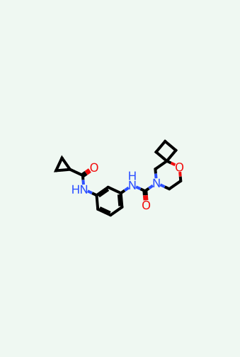 O=C(Nc1cccc(NC(=O)N2CCOC3(CCC3)C2)c1)C1CC1